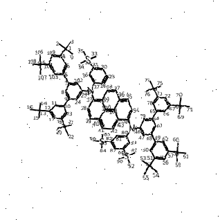 CC(C)(C)c1cc(-c2cc(-c3cc(C(C)(C)C)cc(C(C)(C)C)c3)cc(N(c3c#ccc(S(C)(C)C)c3)c3ccc4ccc5c(N(c6cc(-c7cc(C(C)(C)C)cc(C(C)(C)C)c7)cc(-c7cc(C(C)(C)C)cc(C(C)(C)C)c7)c6)c6cc(S(C)(C)C)cc(S(C)(C)C)c6)ccc6ccc3c4c65)c2)cc(C(C)(C)C)c1